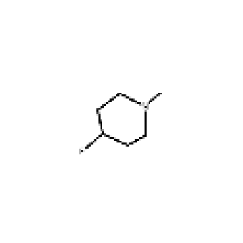 FC1CCN(I)CC1